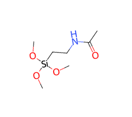 CO[Si](CCNC(C)=O)(OC)OC